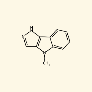 Cn1c2ccccc2c2[nH]ncc21